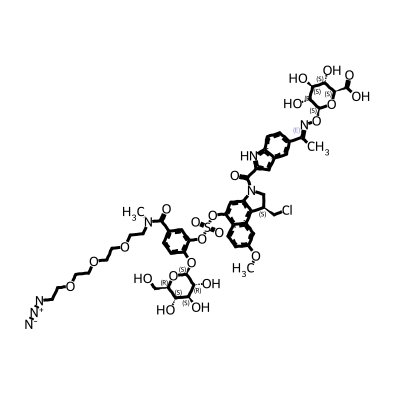 COc1ccc2c(OS(=O)(=O)Oc3cc(C(=O)N(C)CCOCCOCCOCCN=[N+]=[N-])ccc3O[C@@H]3O[C@H](CO)[C@@H](O)[C@H](O)[C@H]3O)cc3c(c2c1)[C@H](CCl)CN3C(=O)c1cc2cc(/C(C)=N/O[C@@H]3O[C@H](C(=O)O)[C@@H](O)[C@H](O)[C@H]3O)ccc2[nH]1